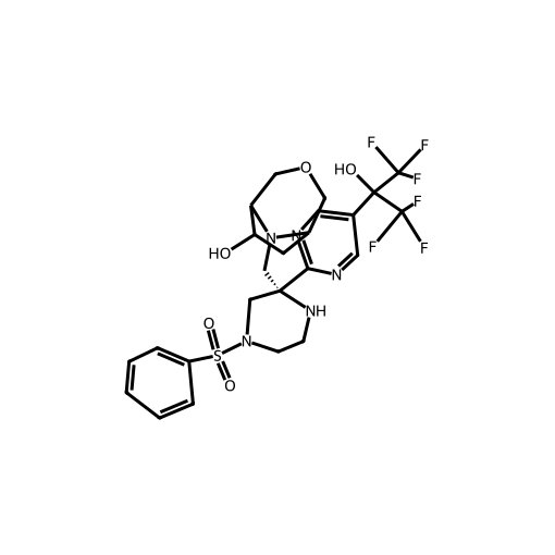 O=S(=O)(c1ccccc1)N1CCN[C@](CN2C3COCC2C(O)C3)(c2ncc(C(O)(C(F)(F)F)C(F)(F)F)cn2)C1